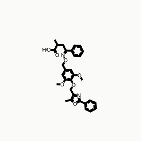 COc1cc(CON=C(CC(C)C(=O)O)c2ccccc2)cc(OC)c1OCc1nc(-c2ccccc2)oc1C